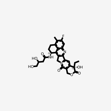 CC[C@@]1(O)C(=O)OCc2c1cc1n(c2=O)Cc2c-1nc1cc(F)c(C)c3c1c2[C@@H](NC(=O)CC(O)CO)CC3